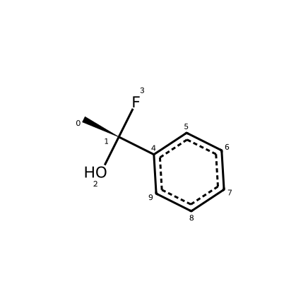 C[C@@](O)(F)c1ccccc1